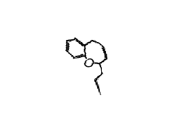 CCCC1C=CCc2ccccc2O1